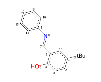 CC(C)(C)c1ccc(O)c(C=Nc2ccccc2)c1